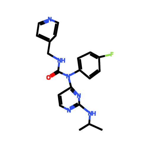 CC(C)Nc1nccc(N(C(=O)NCc2ccncc2)c2ccc(F)cc2)n1